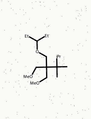 CCC(CC)OCC(COC)(COC)C(C)(C)C(C)C